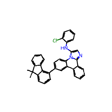 CC1(C)c2ccccc2-c2c(-c3ccc4c(c3)c3ccccc3c3ncc(Nc5ccccc5Cl)n43)cccc21